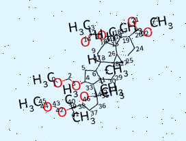 COCO[C@H]1C[C@@]2(C)[C@@H]3C[C@H](OC(C)=O)[C@H]4C(C)(C)[C@@H](C(=O)OC)CC[C@@]45C[C@@]35CC[C@]2(C)[C@H]1[C@@]1(C)CC[C@@H](C(C)(C)OCOC)O1